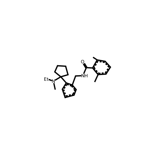 CCN(C)C1(c2ccccc2CNC(=O)c2c(C)cccc2C)CCCC1